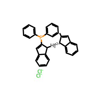 CC1=Cc2ccccc2[CH]1[Hf+2][CH]1C(P(c2ccccc2)c2ccccc2)=Cc2ccccc21.[Cl-].[Cl-]